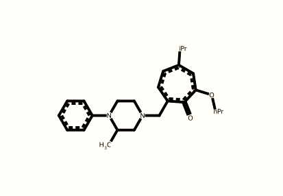 CCCOc1cc(C(C)C)ccc(CN2CCN(c3ccccc3)C(C)C2)c1=O